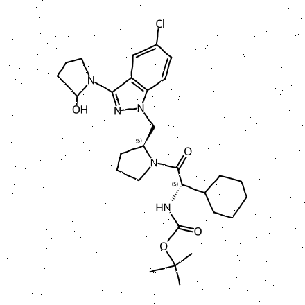 CC(C)(C)OC(=O)N[C@H](C(=O)N1CCC[C@H]1Cn1nc(N2CCCC2O)c2cc(Cl)ccc21)C1CCCCC1